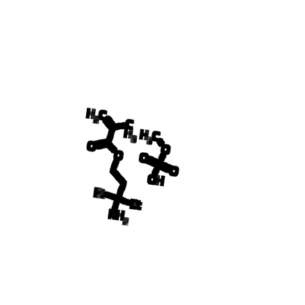 C=C(C)C(=O)OCCC(N)(CC)CC.COS(=O)(=O)O